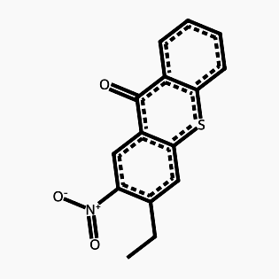 CCc1cc2sc3ccccc3c(=O)c2cc1[N+](=O)[O-]